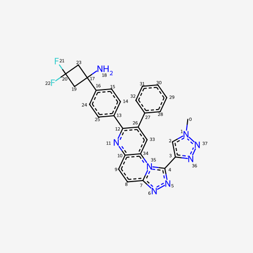 Cn1cc(-c2nnc3ccc4nc(-c5ccc(C6(N)CC(F)(F)C6)cc5)c(-c5ccccc5)cc4n23)nn1